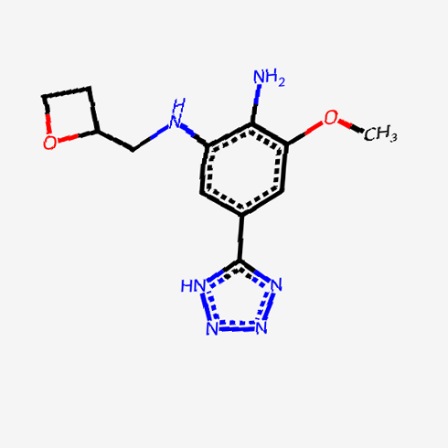 COc1cc(-c2nnn[nH]2)cc(NCC2CCO2)c1N